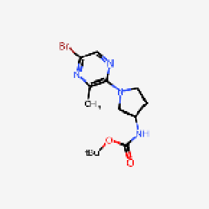 Cc1nc(Br)cnc1N1CCC(NC(=O)OC(C)(C)C)C1